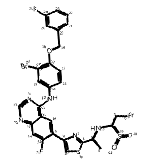 CC(C)CC(NC(C)c1nc(-c2cc3c(Nc4ccc(OCc5cccc(F)c5)c(Br)c4)ncnc3cc2F)cs1)=S(=O)=O